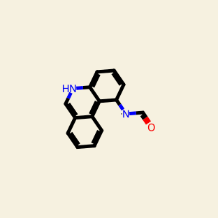 O=C[N]C1C=CC=C2NC=c3ccccc3=C21